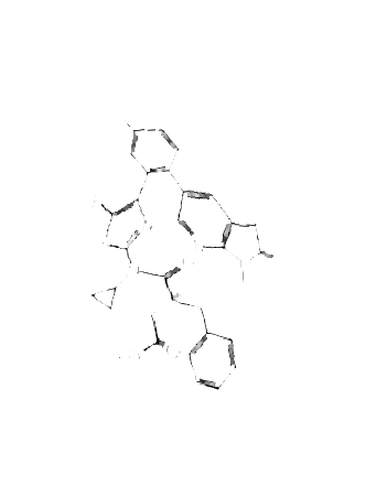 CN1C(=O)Cc2cc(-c3ccc(F)cc3-c3nc(N(C(=O)[C@@H](CC(=O)O)Cc4ccccc4)C4CC4)sc3F)cnc21